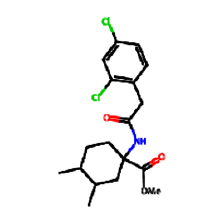 COC(=O)C1(NC(=O)Cc2ccc(Cl)cc2Cl)CCC(C)C(C)C1